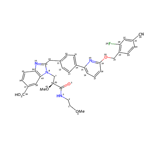 COCCNC(=O)[C@H](Cn1c(Cc2ccc(-c3cccc(OCc4ccc(C#N)cc4F)n3)cc2)nc2ccc(C(=O)O)cc21)OC